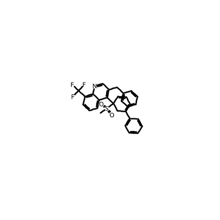 CS(=O)(=O)C1(c2c(Cc3ccccc3)cnc3c(C(F)(F)F)cccc23)C=CC=C(c2ccccc2)C1